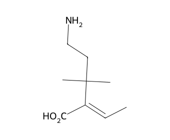 CC=C(C(=O)O)C(C)(C)CCN